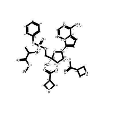 CC(C)OC(=O)C(C)N[P@](=O)(OC[C@@]1(C#N)O[C@@H](c2ccc3c(N)ncnn23)[C@H](OC(=O)C2COC2)[C@@H]1OC(=O)C1COC1)Oc1ccccc1